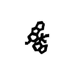 [SH][Zr]([Cl])([Cl])([c]1cccc2c1C=CC2)[c]1cc(Br)cc2c1C1C=NC=CC1=C2